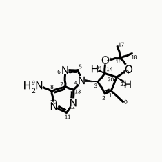 CC1=C[C@@H](n2cnc3c(N)ncnc32)[C@@H]2OC(C)(C)O[C@H]12